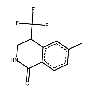 Cc1ccc2c(c1)C(C(F)(F)F)CNC2=O